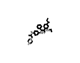 C=CNc1cc(C(=C)CC)ccc1/C(C)=C(/Nc1ccc(N(C)C(=C)CN2CCN(C)CC2)cc1)c1ccccc1